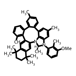 COc1cccc(N2c3cc(C)cc4c5ccc(C)cc5c5cccc(C)c5c5cc6c(cc5n(c34)[C@@H]2C)C(C)(C)CCC6(C)C)c1C